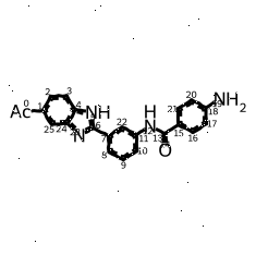 CC(=O)c1ccc2[nH]c(-c3cccc(NC(=O)c4ccc(N)cc4)c3)nc2c1